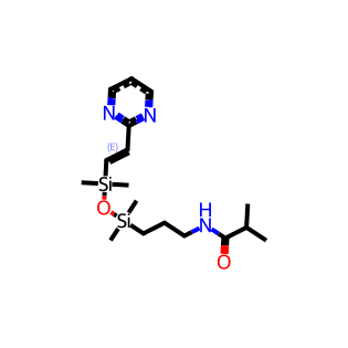 CC(C)C(=O)NCCC[Si](C)(C)O[Si](C)(C)/C=C/c1ncccn1